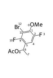 COc1c(F)cc(C(C)OC(C)=O)c(F)c1Br